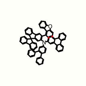 c1ccc(-c2ccc(N(c3ccc4c5ccccc5c5ccccc5c4c3)c3cc4c(cc3-c3cccc5oc6ccccc6c35)-c3ccccc3C43c4ccccc4-c4ccccc43)cc2-c2ccccc2)cc1